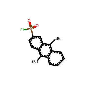 CC(C)(C)c1c2ccccc2c(C(C)(C)C)c2cc(S(=O)(=O)Cl)ccc12